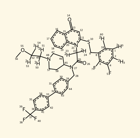 [2H]c1c([2H])c(F)c(F)c(CSc2cc(=O)c3ccccc3n2C([2H])([2H])C(=O)N(Cc2ccc(-c3ccc(C(F)(F)F)cc3)cc2)C2CCN(C([2H])([2H])C([2H])([2H])OC)CC2)c1[2H]